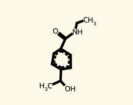 CCNC(=O)c1ccc(C(C)O)cc1